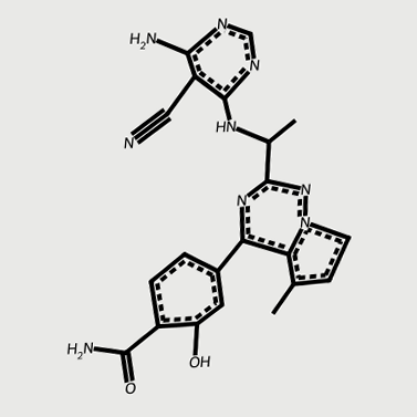 Cc1ccn2nc(C(C)Nc3ncnc(N)c3C#N)nc(-c3ccc(C(N)=O)c(O)c3)c12